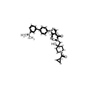 CN(C)c1cccc(-c2ccc(-n3ncc4c(=O)n(CC5(O)CCN(C(=O)C6CC6)CC5)cnc43)cc2)c1